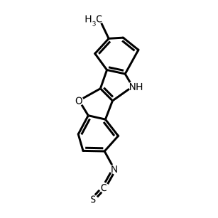 Cc1ccc2[nH]c3c4cc(N=C=S)ccc4oc3c2c1